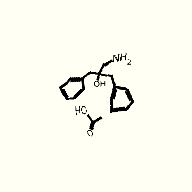 CC(=O)O.NCC(O)(Cc1ccccc1)Cc1ccccc1